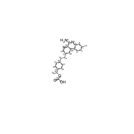 Cc1ccc2c(c1)nc(N)c1ncc(CCc3ccc(C(C)OC(=O)O)cc3)cc12